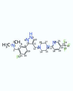 CN(C)Cc1cc(-c2n[nH]cc2CN2CCN(c3ccc(C(F)(F)F)cn3)CC2)ccc1F